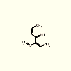 C=N/C(=C/N)C(=N)/C=C\C